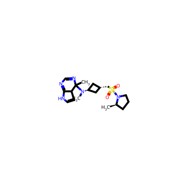 C[C@@H]1CCCN1S(=O)(=O)C[C@H]1C[C@@H](N(C)C2(C)N=CN=C3NC=CC32)C1